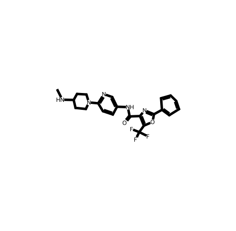 CNC1CCN(c2ccc(NC(=O)c3nc(-c4ccccc4)oc3C(F)(F)F)cn2)CC1